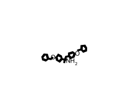 CC(N)(Cc1ccc(OCc2ccccc2)cc1)c1ccc(OCc2ccccc2)cc1